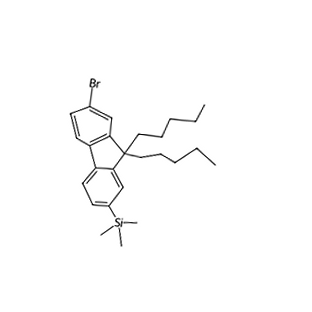 CCCCCC1(CCCCC)c2cc(Br)ccc2-c2ccc([Si](C)(C)C)cc21